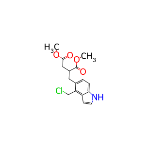 COC(=O)CC(Cc1ccc2[nH]ccc2c1CCl)C(=O)OC